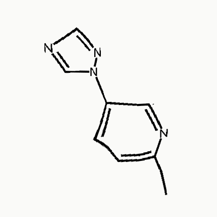 Cc1ccc(-n2cncn2)[c]n1